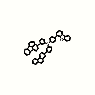 c1cc(-c2ccc3c(ccc4ccccc43)c2)cc(N(c2ccc(-c3cccc4c3oc3ccccc34)cc2)c2cccc(-c3ccc4c5c(cccc35)-c3ccccc3-4)c2)c1